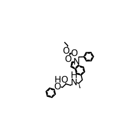 CCOC(=O)Oc1cc2cc(C[C@@H](C)NC[C@H](O)COc3ccccc3)ccc2n1Cc1ccccc1